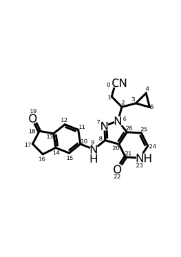 N#CCC(C1CC1)n1nc(Nc2ccc3c(c2)CCC3=O)c2c(=O)[nH]ccc21